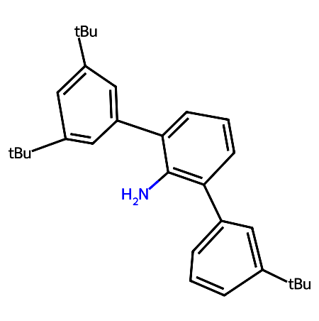 CC(C)(C)c1cccc(-c2cccc(-c3cc(C(C)(C)C)cc(C(C)(C)C)c3)c2N)c1